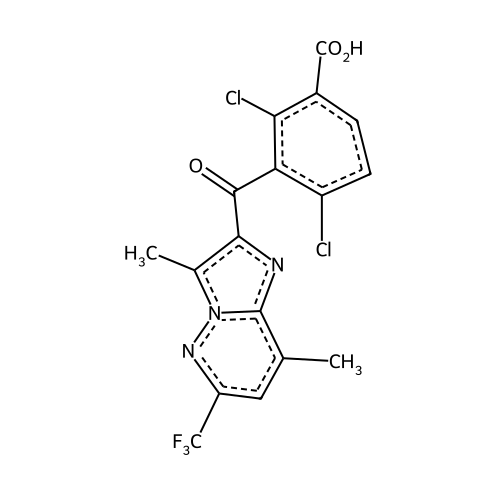 Cc1cc(C(F)(F)F)nn2c(C)c(C(=O)c3c(Cl)ccc(C(=O)O)c3Cl)nc12